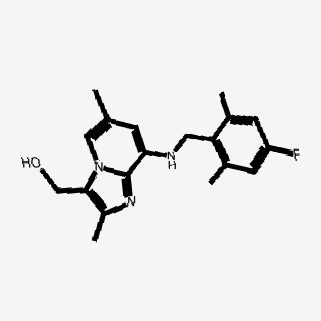 Cc1cc(NCc2c(C)cc(F)cc2C)c2nc(C)c(CO)n2c1